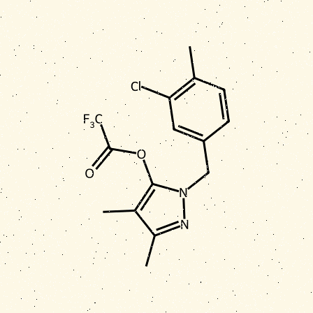 Cc1ccc(Cn2nc(C)c(C)c2OC(=O)C(F)(F)F)cc1Cl